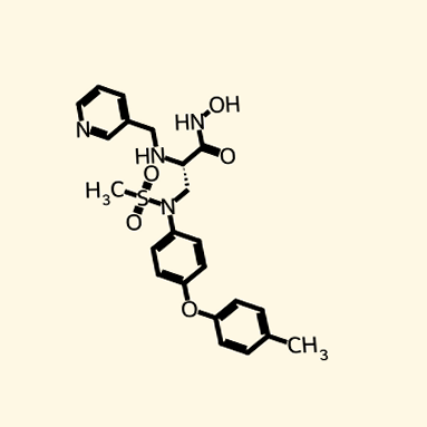 Cc1ccc(Oc2ccc(N(C[C@H](NCc3cccnc3)C(=O)NO)S(C)(=O)=O)cc2)cc1